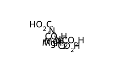 O=C(O)CN(CCN(CC(=O)O)CC(=O)O)CC(=O)O.[MgH2].[MgH2]